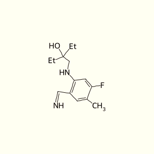 CCC(O)(CC)CNc1cc(F)c(C)cc1C=N